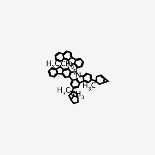 CC1C2CCC1CC(C)(c1cc3c4c(c1)c1cc(C5(C)CC=C6CC6C5)ccc1n4B1c4c-3cc3c(c4-n4c5c1cccc5c1ccc5ccccc5c14)C(C)(C)c1ccccc1-3)C2